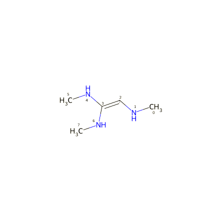 CN[C]=C(NC)NC